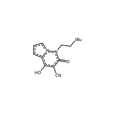 CC(C)(C)CCn1c(=O)c(C#N)c(O)c2cccn21